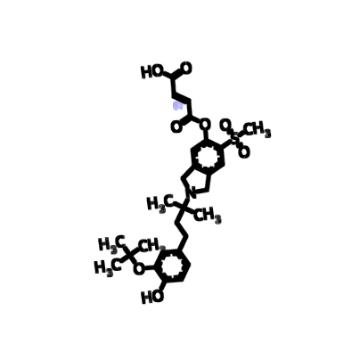 CC(C)(C)Oc1cc(CCC(C)(C)N2Cc3cc(OC(=O)/C=C/C(=O)O)c(S(C)(=O)=O)cc3C2)ccc1O